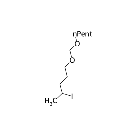 CCCCCOCOCCCC(C)I